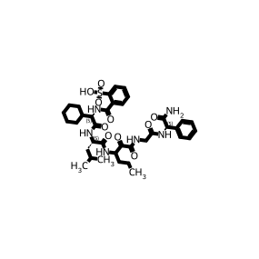 CCCC(NC(=O)[C@H](CC(C)C)NC(=O)[C@@H](NC(=O)c1ccccc1S(=O)(=O)O)C1CCCCC1)C(=O)C(=O)NCC(=O)N[C@H](C(N)=O)c1ccccc1